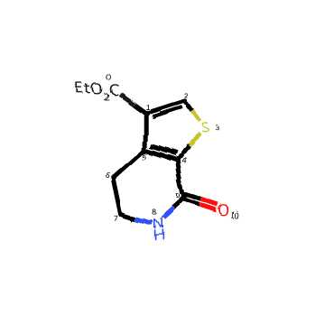 CCOC(=O)c1csc2c1CCNC2=O